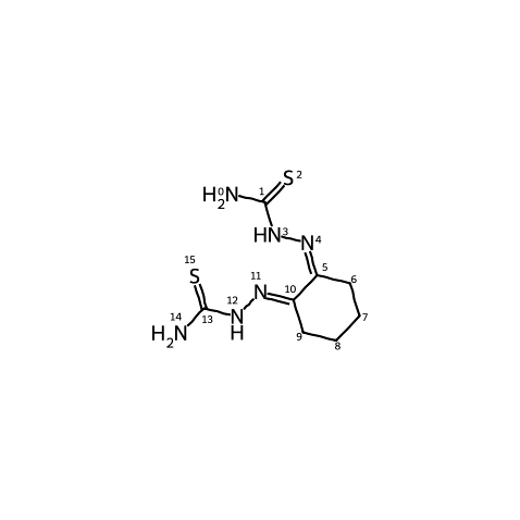 NC(=S)N/N=C1/CCCC/C1=N\NC(N)=S